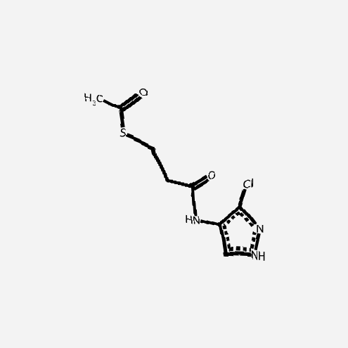 CC(=O)SCCC(=O)Nc1c[nH]nc1Cl